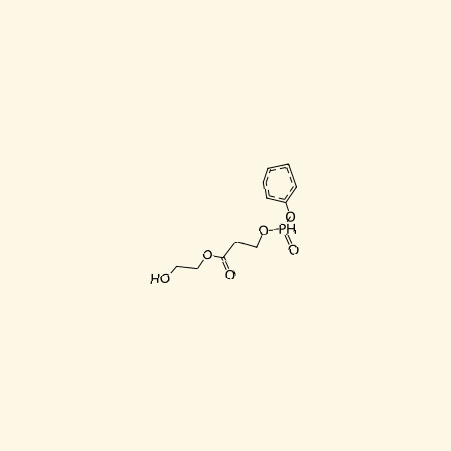 O=C(CCO[PH](=O)Oc1ccccc1)OCCO